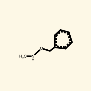 [CH2]NO[CH]c1ccccc1